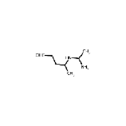 CC(N)NC(C)CCC=O